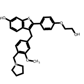 COc1cc(Cc2c(-c3ccc(OCCO)cc3)sc3cc(O)ccc23)ccc1CN1CCCC1